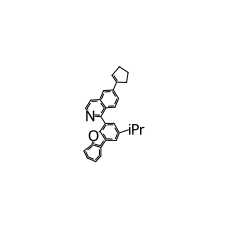 CC(C)c1cc(-c2nccc3cc(C4=CCCC4)ccc23)c2oc3ccccc3c2c1